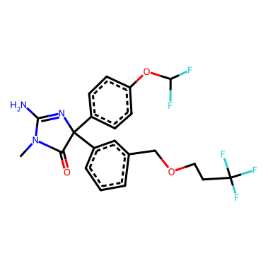 CN1C(=O)C(c2ccc(OC(F)F)cc2)(c2cccc(COCCC(F)(F)F)c2)N=C1N